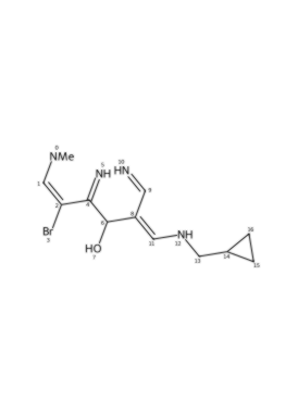 CN/C=C(/Br)C(=N)C(O)/C(C=N)=C/NCC1CC1